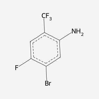 Nc1cc(Br)c(F)cc1C(F)(F)F